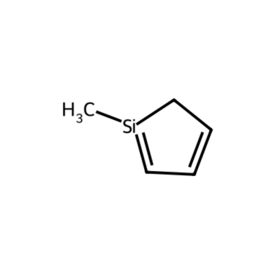 C[Si]1=CC=CC1